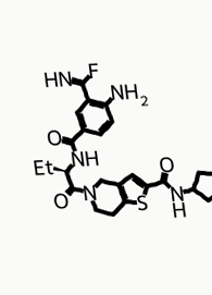 CC[C@@H](NC(=O)c1ccc(N)c(C(=N)F)c1)C(=O)N1CCc2sc(C(=O)NC3CCCC3)cc2C1